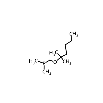 CCCCC(C)(C)OCP(C)C